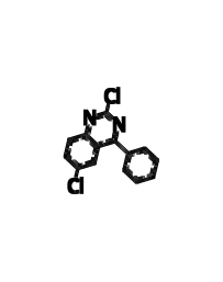 Clc1ccc2nc(Cl)nc(-c3ccccc3)c2c1